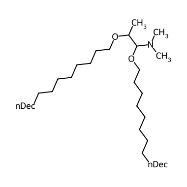 CCCCCCCCCCCCCCCCCCOC(C)C(OCCCCCCCCCCCCCCCCCC)N(C)C